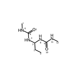 CCC(NC(=O)NC)NC(=O)NC